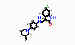 CC1CCCN(c2ccc(N/C=C3/C(=O)Nc4cc(F)ccc43)cc2)C1